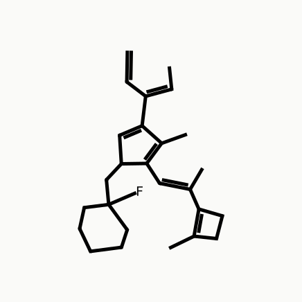 C=C/C(=C\C)C1=CC(CC2(F)CCCCC2)C(/C=C(\C)C2=C(C)CC2)=C1C